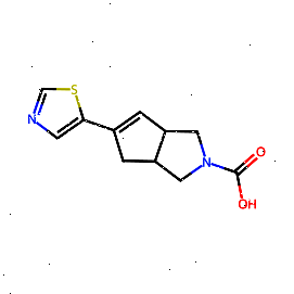 O=C(O)N1CC2C=C(c3cncs3)CC2C1